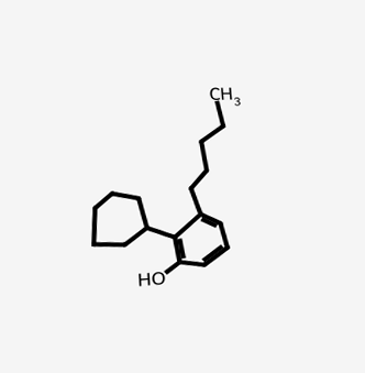 CCCCCc1cccc(O)c1C1CCCCC1